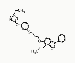 CCCc1c(OCCCSc2cccc(Oc3nnn(CC)n3)c2)ccc2c(-c3ccccc3)coc12